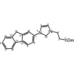 CCCCCCCCCCCCN1C=CN(c2ccc3c(c2)Cc2ccccc2-3)C1